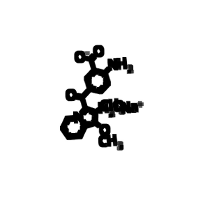 COc1c(C)c(C(=O)c2ccc(N)c(C(=O)[O-])c2)n2ccccc12.O.[Na+]